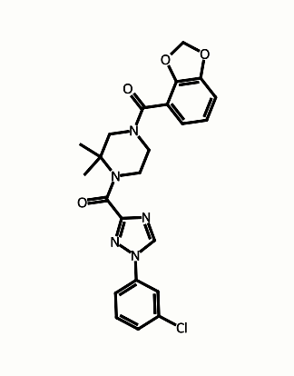 CC1(C)CN(C(=O)c2cccc3c2OCO3)CCN1C(=O)c1ncn(-c2cccc(Cl)c2)n1